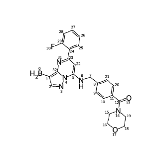 Bc1cnn2c(NCc3ccc(C(=O)N4CCOCC4)cc3)cc(-c3ccccc3F)nc12